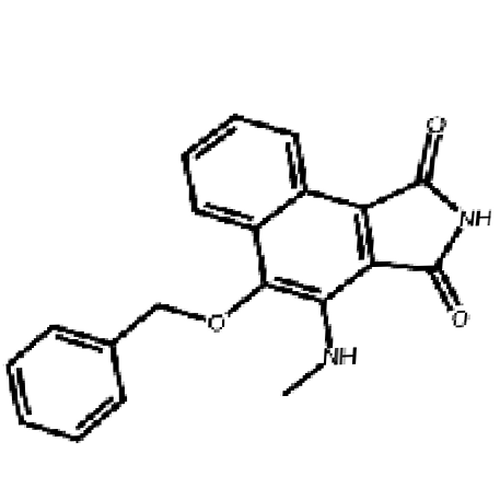 CNc1c2c(c3ccccc3c1OCc1ccccc1)C(=O)NC2=O